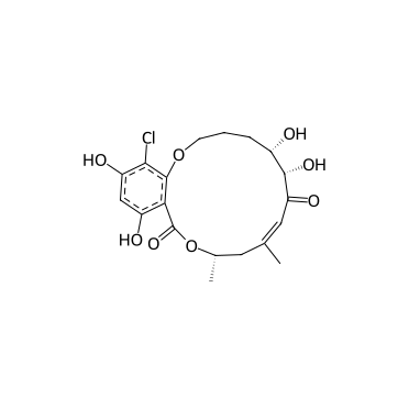 C/C1=C/C(=O)[C@@H](O)[C@@H](O)CCCOc2c(Cl)c(O)cc(O)c2C(=O)O[C@@H](C)C1